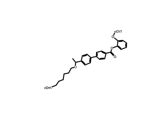 CCCCCCCCCCCCCCCCOC(C)c1ccc(-c2ccc(C(=O)Oc3ccccc3OCCCCCCCC)cc2)cc1